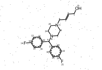 OCC=CCN1CCN(C(c2ccc(F)cc2)c2ccc(F)cc2)CC1